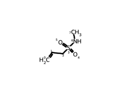 C=CCS(=O)(=O)NC